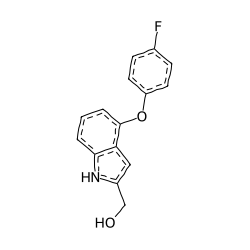 OCc1cc2c(Oc3ccc(F)cc3)cccc2[nH]1